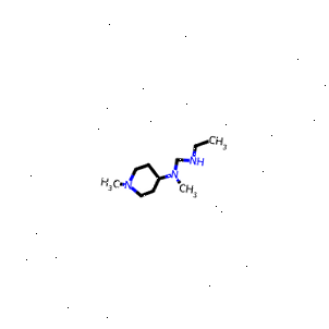 CCNCN(C)C1CCN(C)CC1